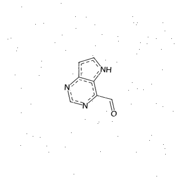 O=Cc1ncnc2cc[nH]c12